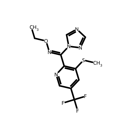 CCON=C(c1ncc(C(F)(F)F)cc1SC)n1cncn1